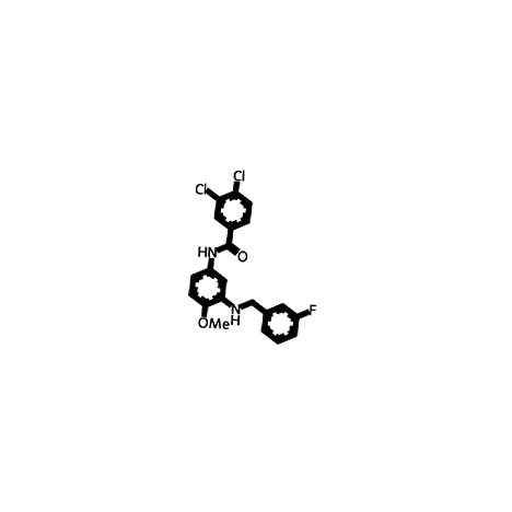 COc1ccc(NC(=O)c2ccc(Cl)c(Cl)c2)cc1NCc1cccc(F)c1